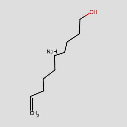 C=CCCCCCCCCO.[NaH]